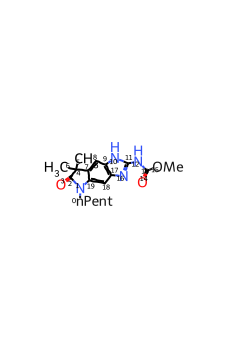 CCCCCN1C(=O)C(C)(C)c2cc3[nH]c(NC(=O)OC)nc3cc21